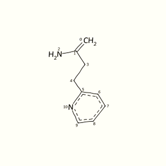 C=C(N)CCc1ccccn1